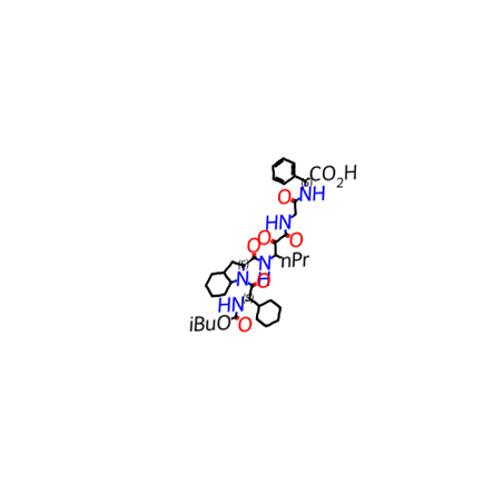 CCCC(NC(=O)[C@@H]1CC2CCCCC2N1C(=O)[C@@H](NC(=O)OCC(C)C)C1CCCCC1)C(=O)C(=O)NCC(=O)N[C@H](C(=O)O)c1ccccc1